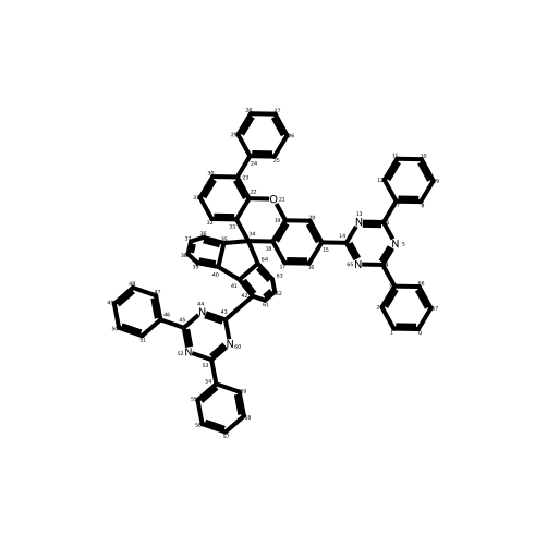 c1ccc(-c2nc(-c3ccccc3)nc(-c3ccc4c(c3)Oc3c(-c5ccccc5)cccc3C43c4ccccc4-c4c(-c5nc(-c6ccccc6)nc(-c6ccccc6)n5)cccc43)n2)cc1